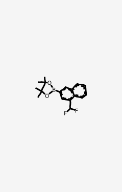 CC1(C)OB(c2cc(C(F)F)c3ccccc3c2)OC1(C)C